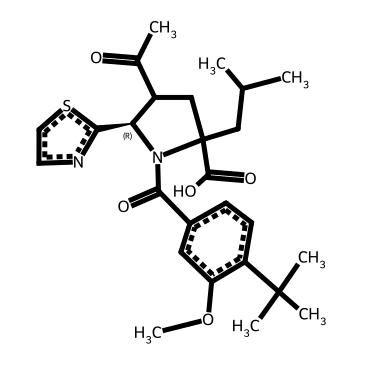 COc1cc(C(=O)N2[C@@H](c3nccs3)C(C(C)=O)CC2(CC(C)C)C(=O)O)ccc1C(C)(C)C